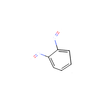 O=Nc1ccccc1N=O.[C]